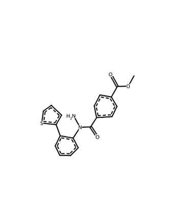 COC(=O)c1ccc(C(=O)N(N)c2ccccc2-c2cccs2)cc1